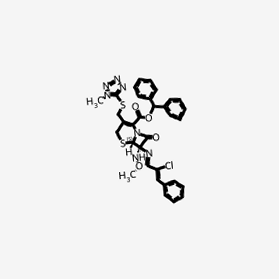 CON[C@@]1(N=CC(Cl)=Cc2ccccc2)C(=O)N2C(C(=O)OC(c3ccccc3)c3ccccc3)=C(CSc3nnnn3C)CS[C@H]21